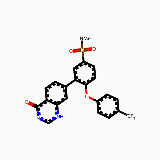 CNS(=O)(=O)c1ccc(Oc2ccc(C(F)(F)F)cc2)c(-c2ccc3c(=O)nc[nH]c3c2)c1